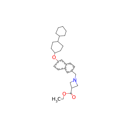 CCOC(=O)C1CN(Cc2ccc3cc(OC4CCC(C5CCCCC5)CC4)ccc3c2)C1